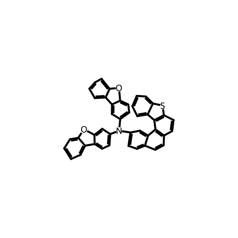 c1ccc2c(c1)oc1cc(N(c3ccc4oc5ccccc5c4c3)c3ccc4ccc5ccc6sc7ccccc7c6c5c4c3)ccc12